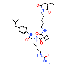 CCC1CC(=O)N(CCCCCNC(=O)C2(C(=O)N[C@@H](CCCCNC(N)=O)C(=O)Nc3ccc(CC(C)C)cc3)CCC2)C1=O